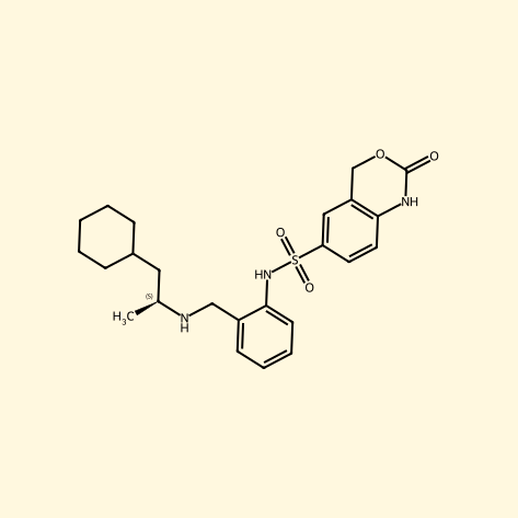 C[C@@H](CC1CCCCC1)NCc1ccccc1NS(=O)(=O)c1ccc2c(c1)COC(=O)N2